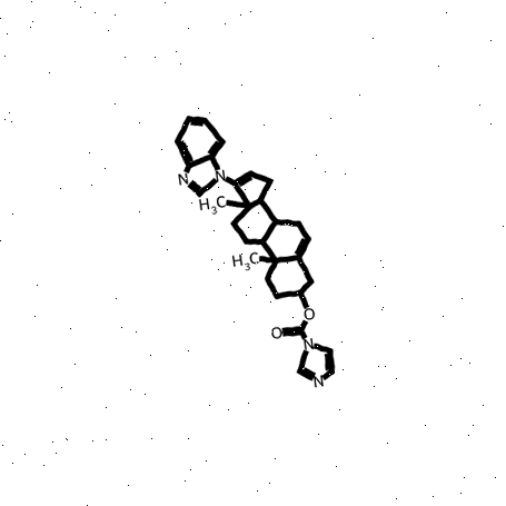 CC12CCC(OC(=O)n3ccnc3)CC1=CCC1C2CCC2(C)C(n3cnc4ccccc43)=CCC12